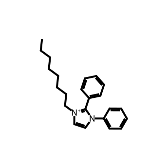 CCCCCCCC[n+]1ccn(-c2ccccc2)c1-c1ccccc1